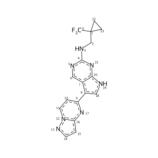 FC(F)(F)C1(CNc2ncc3c(-c4ccn5nccc5n4)c[nH]c3n2)CC1